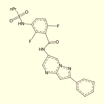 CCCS(=O)(=O)Nc1ccc(F)c(C(=O)Nc2cnc3cc(-c4ccccc4)nn3c2)c1F